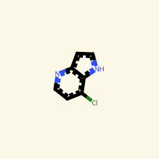 Clc1ccnc2cc[nH]c12